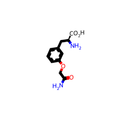 NC(=O)COc1cccc(C[C@H](N)C(=O)O)c1